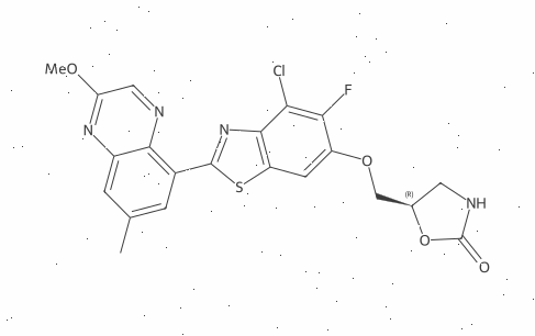 COc1cnc2c(-c3nc4c(Cl)c(F)c(OC[C@H]5CNC(=O)O5)cc4s3)cc(C)cc2n1